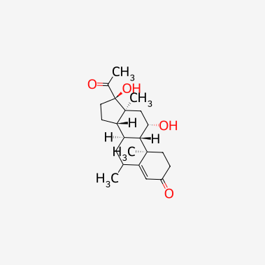 CC(=O)[C@@]1(O)CC[C@H]2[C@@H]3CC(C)C4=CC(=O)CC[C@]4(C)[C@H]3[C@@H](O)C[C@@]21C